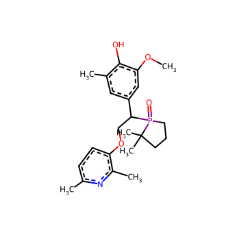 COc1cc(C(COc2ccc(C)nc2C)P2(=O)CCCC2(C)C)cc(C)c1O